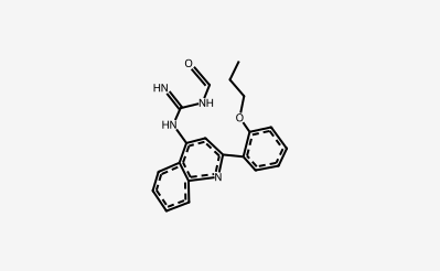 CCCOc1ccccc1-c1cc(NC(=N)NC=O)c2ccccc2n1